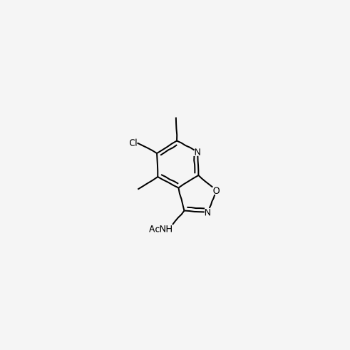 CC(=O)Nc1noc2nc(C)c(Cl)c(C)c12